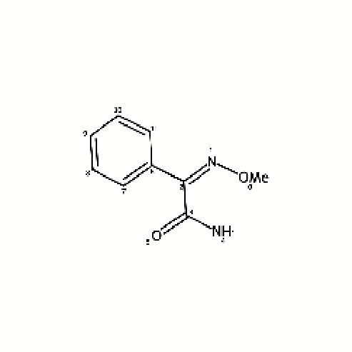 CON=C(C([NH])=O)c1ccccc1